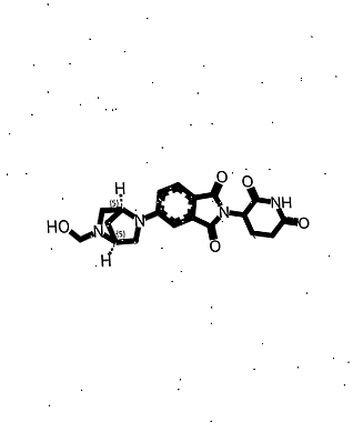 O=C1CCC(N2C(=O)c3ccc(N4C[C@@H]5C[C@H]4CN5CO)cc3C2=O)C(=O)N1